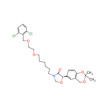 CC1(C)OCc2cc([C@H]3OCN(CCCCCCOCCOCc4c(Cl)cccc4Cl)C3=O)ccc2O1